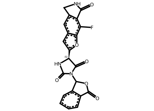 O=C1OC(N2C(=O)N[C@@H](c3cc4cc5c(c(F)c4o3)C(=O)NC5)C2=O)c2ccccc21